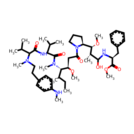 CC[C@H](C)[C@@H]([C@@H](CC(=O)N1CCC[C@H]1[C@H](OC)[C@@H](C)C(O)N[C@@H](Cc1ccccc1)C(=O)OC)OC)N(C)C(=O)[C@@H](NC(=O)C(C(C)C)N(C)CCc1ccc(NC)cc1)C(C)C